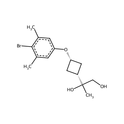 Cc1cc(O[C@H]2C[C@@H](C(C)(O)CO)C2)cc(C)c1Br